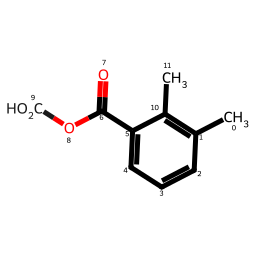 Cc1cccc(C(=O)OC(=O)O)c1C